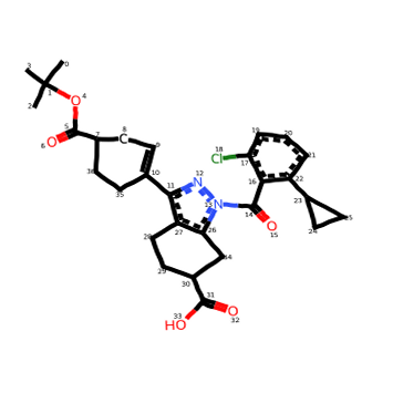 CC(C)(C)OC(=O)C1CC=C(c2nn(C(=O)c3c(Cl)cccc3C3CC3)c3c2CCC(C(=O)O)C3)CC1